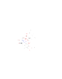 CCCCCC(=O)Oc1ccc(C[C@H](NCC(C)OC(=O)CC(C)CC)C(=O)O)cc1OC(=O)CCCCC